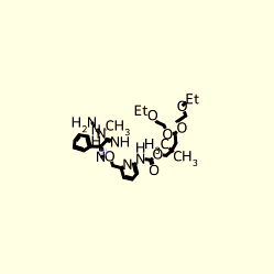 CCOCCOC(CC(C)(C)COC(=O)Nc1cccc(CO/N=C(\C(=N)N(C)NN)c2ccccc2)n1)OCCOCC